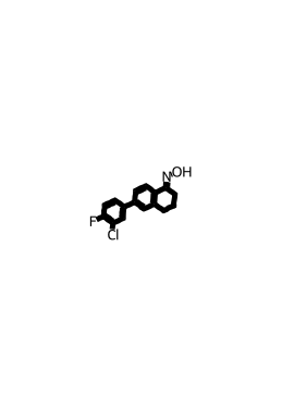 ON=C1CCCc2cc(-c3ccc(F)c(Cl)c3)ccc21